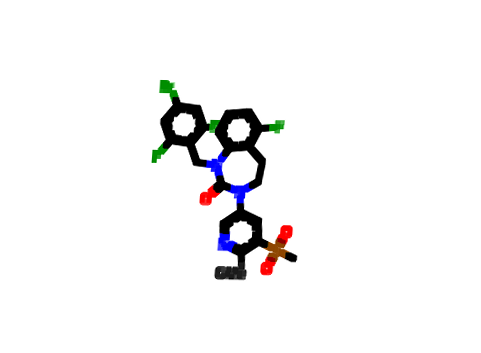 COc1ncc(N2CCc3c(F)cccc3N(Cc3c(F)cc(Br)cc3F)C2=O)cc1S(C)(=O)=O